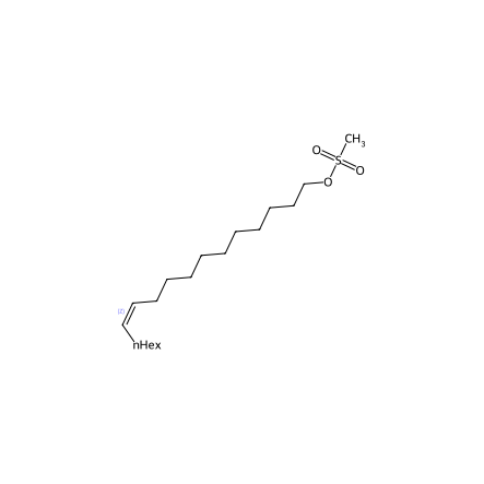 CCCCCC/C=C\CCCCCCCCCCOS(C)(=O)=O